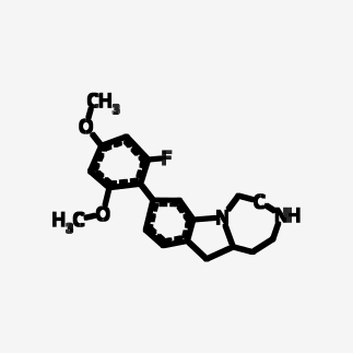 COc1cc(F)c(-c2ccc3c(c2)N2CCNCCC2C3)c(OC)c1